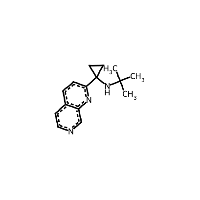 CC(C)(C)NC1(c2ccc3ccncc3n2)CC1